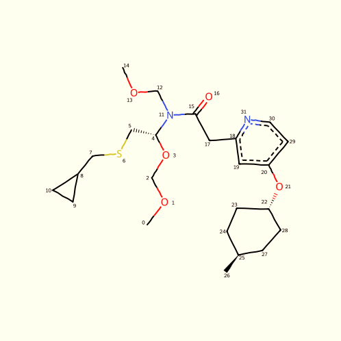 COCO[C@H](CSCC1CC1)N(COC)C(=O)Cc1cc(O[C@H]2CC[C@H](C)CC2)ccn1